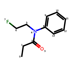 CCC(=O)N(CCF)c1ccccc1